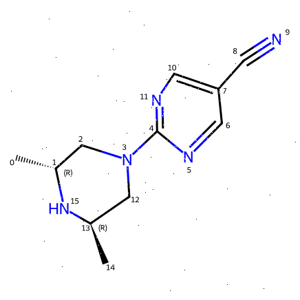 C[C@@H]1CN(c2ncc(C#N)cn2)C[C@@H](C)N1